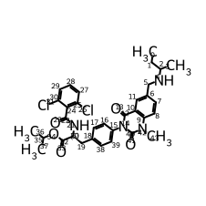 CCC(C)NCc1ccc2c(c1)c(=O)n(-c1ccc(C[C@H](NC(=O)c3c(Cl)cccc3Cl)C(=O)OC(C)C)cc1)c(=O)n2C